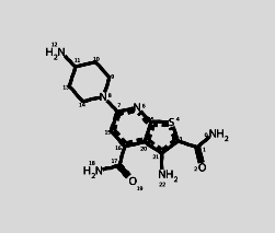 NC(=O)c1sc2nc(N3CCC(N)CC3)cc(C(N)=O)c2c1N